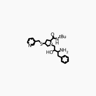 CC(C)(C)NC(=O)C1CC(SCc2cccnc2)CN1CC(O)C(N)Cc1ccccc1